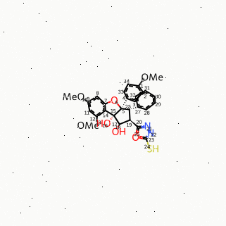 COc1ccc([C@@]23Oc4cc(OC)cc(OC)c4[C@]2(O)[C@H](O)[C@H](c2nnc(S)o2)[C@H]3c2ccccc2)cc1